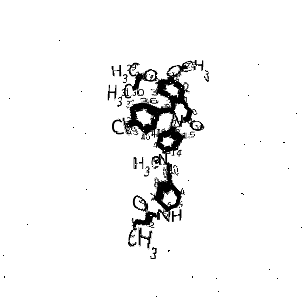 CCCC(=O)NC1CCC(CN(C)c2ccc(N3C(=O)Cc4cc(OC)c(OC(C)CC)cc4C3c3ccc(Cl)cc3)cc2)CC1